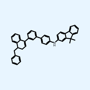 CC1(C)c2ccccc2-c2ccc(Nc3ccc(-c4cccc(C5=CCC(Cc6ccccc6)c6ccccc65)c4)cc3)cc21